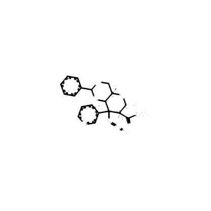 CNC(=O)[C@]1(OC)[C@@H](S)O[C@@]2(Cl)COC(c3ccccc3)O[C@@H]2C1(N=[N+]=[N-])c1cccnc1